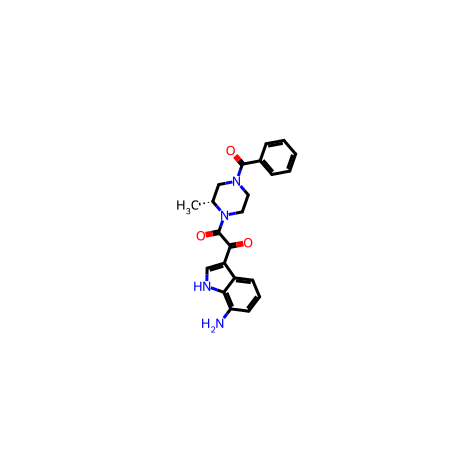 C[C@@H]1CN(C(=O)c2ccccc2)CCN1C(=O)C(=O)c1c[nH]c2c(N)cccc12